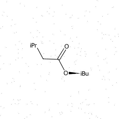 C[CH][C@H](C)OC(=O)CC(C)C